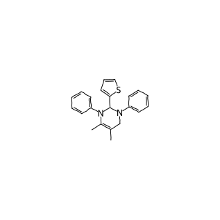 CC1=C(C)N(c2ccccc2)C(c2cccs2)N(c2ccccc2)C1